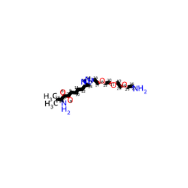 CC(C)[C@H](N)C(=O)C(=O)CCCCc1cn(CCOCCOCCOCCN)nn1